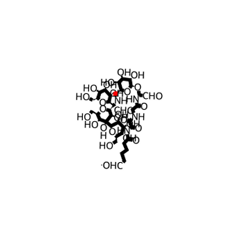 O=[C]CCCCC(=O)NC(=O)C(=O)NCC(=O)NC(C=O)O[C@@H]1O[C@@H](CNC(C=O)([C@H]2O[C@H](CO)[C@@H](O)[C@H](O)[C@@H]2O)[C@H]2O[C@H](CO)[C@@H](O)[C@@](O)([C@H]3O[C@H](CO)[C@@H](O)[C@H](O)[C@@H]3O)[C@@H]2O)[C@@H](O)[C@@H](O)[C@@H]1O